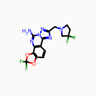 Nc1nc2c3c(ccc2c2nc(CN4CCC(F)(F)C4)nn12)OC(F)(F)O3